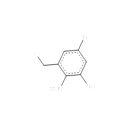 CNc1c(CC(F)(F)F)cc(Br)cc1[N+](=O)[O-]